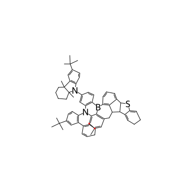 Cc1cc2c3c(c1)N(c1ccc(C(C)(C)C)cc1C1=CCCC=C1)c1cc(N4c5ccc(C(C)(C)C)cc5C5(C)CCCCC45C)ccc1B3c1cccc3c1C(C2)C1C2=CCCC=C2SC31